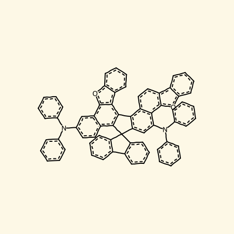 c1ccc(N(c2ccccc2)c2ccc3c4c(c5c6ccccc6oc5c3c2)-c2c(cc(N(c3ccccc3)c3ccccc3)c3c2ccc2c5ccccc5oc23)C42c3ccccc3-c3ccccc32)cc1